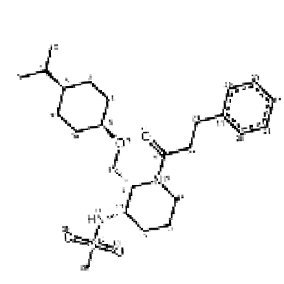 CC(C)[C@H]1CC[C@@H](OC[C@H]2[C@@H](NS(C)(=O)=O)CCCN2C(=O)CCc2ccccc2)CC1